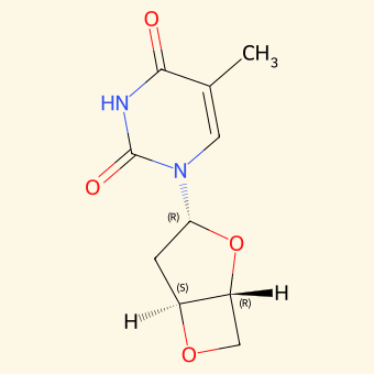 Cc1cn([C@H]2C[C@@H]3OC[C@H]3O2)c(=O)[nH]c1=O